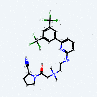 C[N+](C)(CCNc1cccc(-c2cc(C(F)(F)F)cc(C(F)(F)F)c2)n1)CC(=O)N1CCC[C@H]1C#N